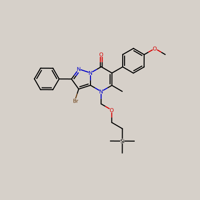 COc1ccc(-c2c(C)n(COCC[Si](C)(C)C)c3c(Br)c(-c4ccccc4)nn3c2=O)cc1